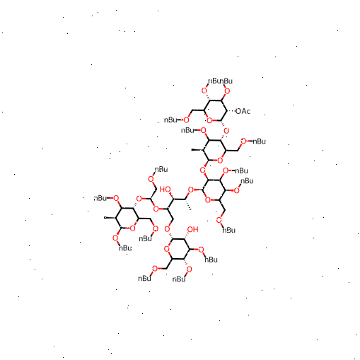 CCCCOCC1O[C@H](OCC(O[C@H](COCCCC)O[C@@H]2C(COCCCC)O[C@@H](OCCCC)[C@@H](C)C2OCCCC)[C@@H](O)[C@@H](C)O[C@@H]2OC(COCCCC)[C@H](OCCCC)C(OCCCC)[C@@H]2O[C@@H]2OC(COCCCC)[C@@H](O[C@@H]3OC(COCCCC)[C@H](OCCCC)C(OCCCC)[C@@H]3OC(C)=O)C(OCCCC)[C@@H]2C)[C@H](O)C(OCCCC)[C@@H]1OCCCC